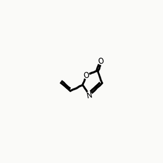 C=CC1N=CC(=O)O1